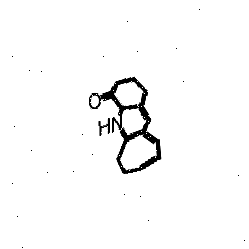 O=C1CCCC2=CC3=CC=CCCC3NC12